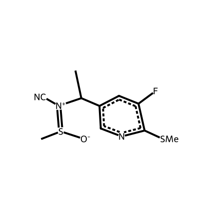 CSc1ncc(C(C)[N+](C#N)=S(C)[O-])cc1F